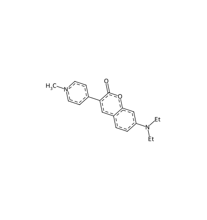 CCN(CC)c1ccc2cc(-c3cc[n+](C)cc3)c(=O)oc2c1